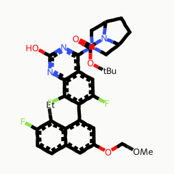 CCc1c(F)ccc2cc(OCOC)cc(-c3c(F)cc4c(N5CC6CCC(C5)N6C(=O)OC(C)(C)C)nc(O)nc4c3F)c12